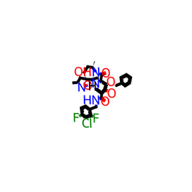 CC1=NO[C@@]2(CC[C@H](C)N3C[C@H]2n2cc(C(=O)NCc4ccc(F)c(Cl)c4F)c(=O)c(OCc4ccccc4)c2C3=O)[C@H]1O